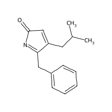 CC(C)CC1=CC(=O)N=C1Cc1ccccc1